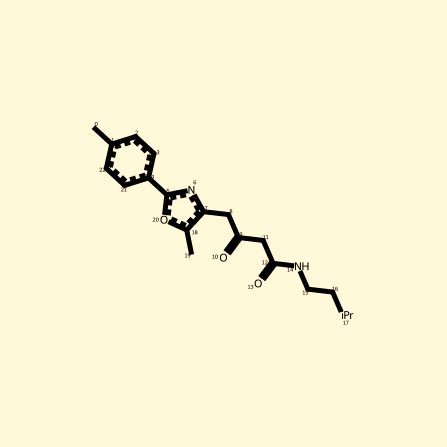 Cc1ccc(-c2nc(CC(=O)CC(=O)NCCC(C)C)c(C)o2)cc1